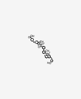 Cc1c(Nc2nccc3cc(CN4CCC(O)C4)cnc23)cccc1-c1cccc(N(Cl)C(=O)c2nc3c(n2C)CCN(CC2CCC(C(=O)O)CC2)C3)c1